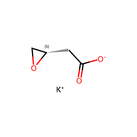 O=C([O-])C[C@H]1CO1.[K+]